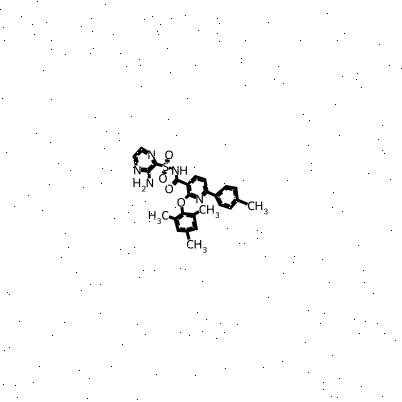 Cc1ccc(-c2ccc(C(=O)NS(=O)(=O)c3nccnc3N)c(Oc3c(C)cc(C)cc3C)n2)cc1